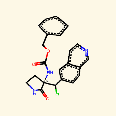 O=C(N[C@@]1(C(Cl)c2ccc3cnccc3c2)CCNC1=O)OCc1ccccc1